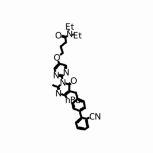 CCCCc1nc(C)n(-c2ncc(OCCCC(=O)N(CC)CC)cn2)c(=O)c1Cc1ccc(-c2ccccc2C#N)cc1